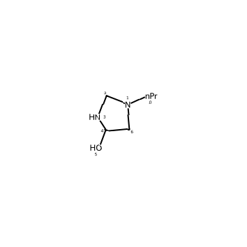 CCCN1CNC(O)C1